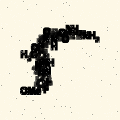 COc1ccc(-c2cnc3c(Nc4ccc(C(=O)N5CCN(C(=O)[C@@H]6C[C@@H](OC(=O)[C@@H](N)CCCCN)CN6)CC5)c(C)c4)nccn23)c(F)c1F